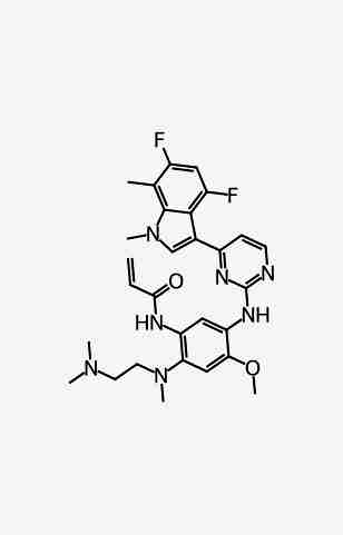 C=CC(=O)Nc1cc(Nc2nccc(-c3cn(C)c4c(C)c(F)cc(F)c34)n2)c(OC)cc1N(C)CCN(C)C